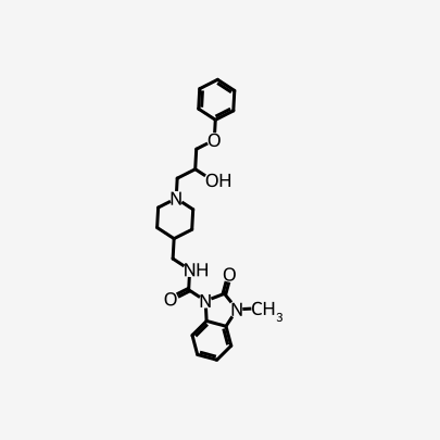 Cn1c(=O)n(C(=O)NCC2CCN(CC(O)COc3ccccc3)CC2)c2ccccc21